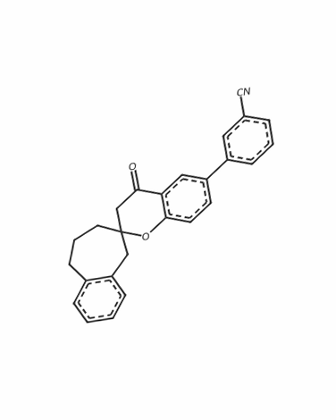 N#Cc1cccc(-c2ccc3c(c2)C(=O)CC2(CCCc4ccccc4C2)O3)c1